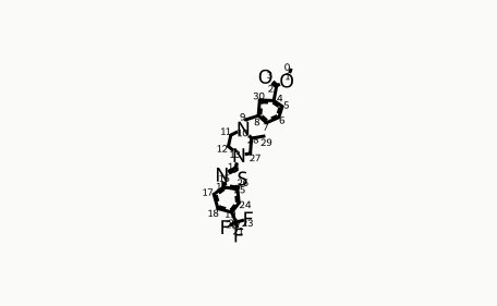 COC(=O)c1cccc(CN2CCN(c3nc4ccc(C(F)(F)F)cc4s3)CC2C)c1